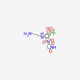 NCCCCCNc1cccc2c1C(=O)N(C1CCC(=O)NC1=O)C2=O.O=C(O)C(F)(F)F